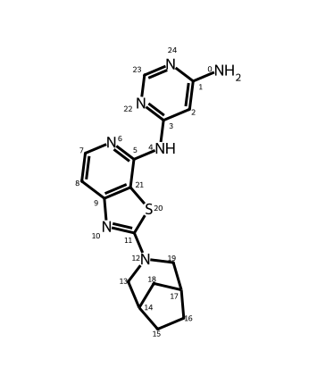 Nc1cc(Nc2nccc3nc(N4CC5CCC(C5)C4)sc23)ncn1